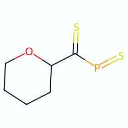 S=PC(=S)C1CCCCO1